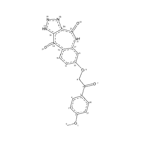 COc1ccc(C(=O)COc2ccc3c(=O)c4[nH]nnc4c(=O)[nH]c3c2)cc1